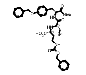 CNC(=O)[C@H](Cc1ccc(OCc2ccccc2)cc1)NC(=O)[C@H](CC(C)C)N[C@H](CCNC(=O)OCc1ccccc1)C(=O)O